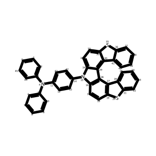 c1ccc(N(c2ccccc2)c2ccc(-n3c4ccc5sc6ccccc6c5c4c4c5c(ccc43)sc3ccccc35)cc2)cc1